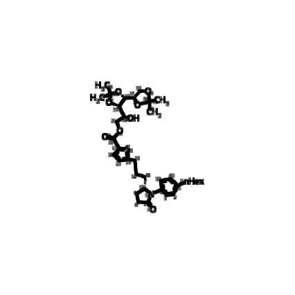 CCCCCCc1ccc(N2C(=O)CC[C@@H]2CCCc2ccc(C(=O)OC[C@H](O)[C@H]3OC(C)(C)O[C@@H]3[C@H]3COC(C)(C)O3)s2)cc1